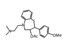 COc1ccc(C2Sc3ccccc3N(CCN(C)C)CC2OC(C)=O)cc1